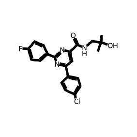 CC(C)(O)CNC(=O)c1cc(-c2ccc(Cl)cc2)nc(-c2ccc(F)cc2)n1